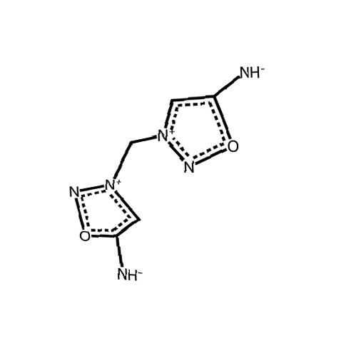 [NH-]c1c[n+](C[n+]2cc([NH-])on2)no1